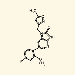 COc1cc(F)ccc1-c1cnc2[nH]c(=O)n(Cc3cc(C)on3)c2c1